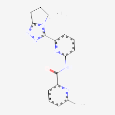 COc1cccc(C(=O)Nc2cccc(-c3nnc4n3[C@@H](C)CC4)n2)n1